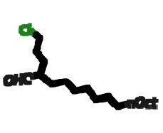 CCCCCCCCCCCCCCCC(C=O)CCCCl